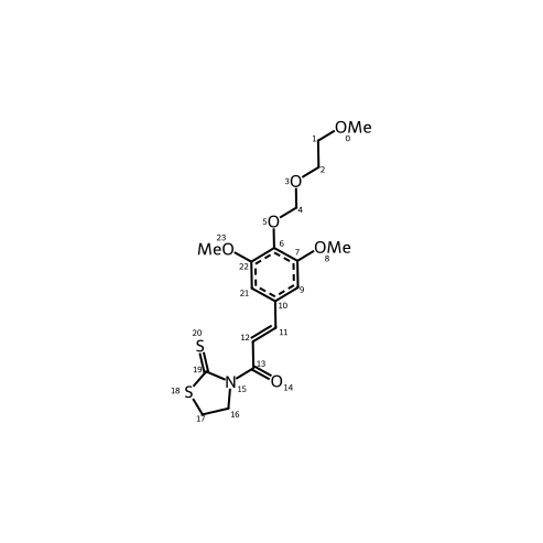 COCCOCOc1c(OC)cc(C=CC(=O)N2CCSC2=S)cc1OC